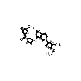 COc1ncc(N2CCc3ncnc(O[C@H]4CCN(C(=O)c5c[nH]c(C)n5)C4)c3C2)cc1C